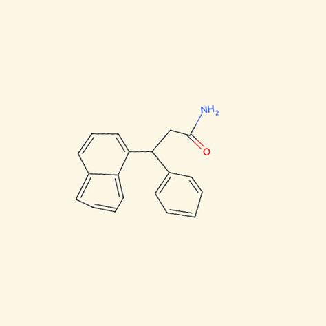 NC(=O)CC(c1ccccc1)c1cccc2ccccc12